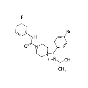 CC(C)N1CC2(CCN(C(=O)NC3=CC(F)CC=C3)CC2)C1C1C=CC(Br)=CC1